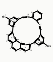 CC(C)(C)c1cc2cnc3ccccc3ncc3cc(C(C)(C)C)cc(c3O)c3ccc4ccc5ccc(nc5c4n3)c(c1)c2O